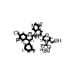 CCC(Cc1c(F)cncc1NC(=O)CC(c1cccc(F)c1)c1ccc(Cl)c(F)c1)[C@@H]1CN(C(=O)OC(C)(C)C)[C@H](CO)CO1